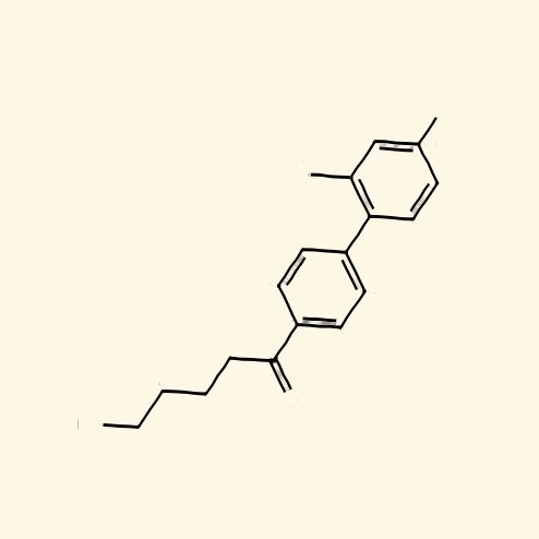 O=C(CCCCO)c1ccc(-c2ccc(Cl)cc2Cl)cc1